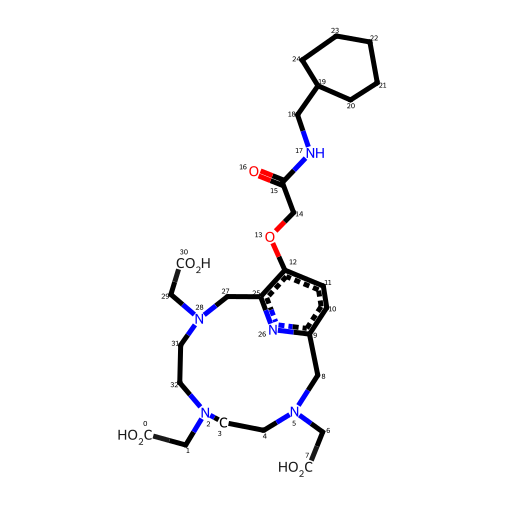 O=C(O)CN1CCN(CC(=O)O)Cc2ccc(OCC(=O)NCC3CCCCC3)c(n2)CN(CC(=O)O)CC1